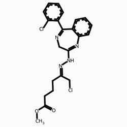 COC(=O)CCCC(CCl)=NNC1=Nc2ccccc2C(c2ccccc2Cl)=NC1